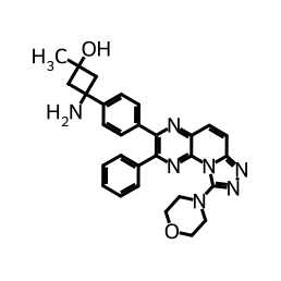 CC1(O)CC(N)(c2ccc(-c3nc4ccc5nnc(N6CCOCC6)n5c4nc3-c3ccccc3)cc2)C1